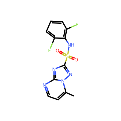 Cc1ccnc2nc(S(=O)(=O)Nc3c(F)cccc3F)nn12